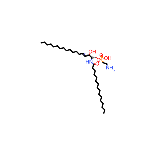 CCCCCCCCCCCCC/C=C/[C@@H](O)[C@H](COP(=O)(O)CCN)NC(=O)CCCCCCCCCCCCCCC